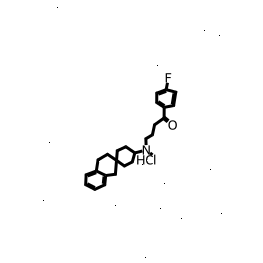 CN(CCCC(=O)c1ccc(F)cc1)C1CCC2(CCc3ccccc3C2)CC1.Cl